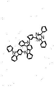 c1ccc(-c2nc(-c3ccccc3)nc(-c3cccc(-n4c5ccccc5c5c4ccc4c6ccccc6n(-c6ccc7c(c6)c6ccccc6n7-c6ccccc6)c45)c3)n2)cc1